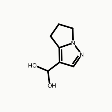 OC(O)c1cnn2c1CCC2